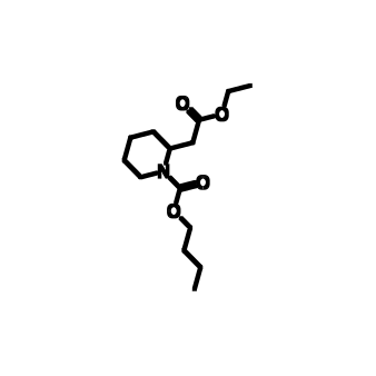 CCCCOC(=O)N1CCCCC1CC(=O)OCC